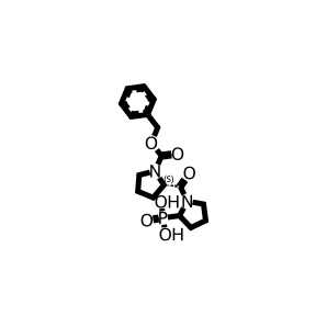 O=C([C@@H]1CCCN1C(=O)OCc1ccccc1)N1CCCC1P(=O)(O)O